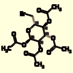 CC(=O)O[C@H]1O[C@H](CBr)[C@@H](OC(C)=O)[C@H](OC(C)=O)[C@H]1OC(C)=O